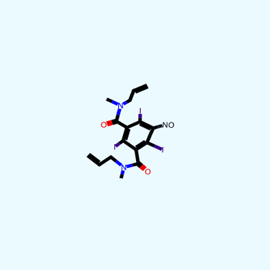 C=CCN(C)C(=O)c1c(I)c(N=O)c(I)c(C(=O)N(C)CC=C)c1I